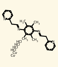 Cc1c(C)c(N=CCc2ccccn2)c(C)c(C)c1N=CCc1ccccn1.Cl.Cl.Cl.Cl.[Cu].[Cu]